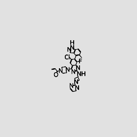 C=CC(=O)N1CCN(c2nc(NC3CN(c4ncccn4)C3)nc3c(F)c(-c4c(C)ccc5[nH]ncc45)c(Cl)cc23)CC1